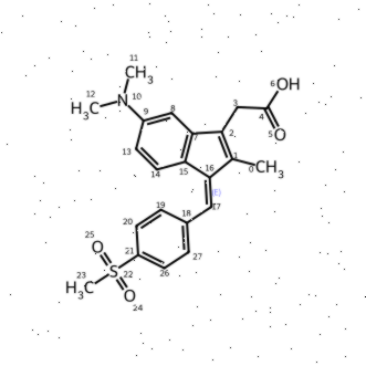 CC1=C(CC(=O)O)c2cc(N(C)C)ccc2/C1=C\c1ccc(S(C)(=O)=O)cc1